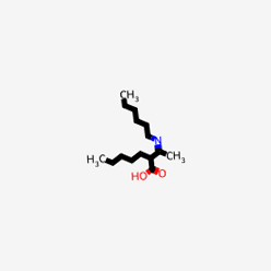 CCCCCC/N=C(/C)C(CCCCC)C(=O)O